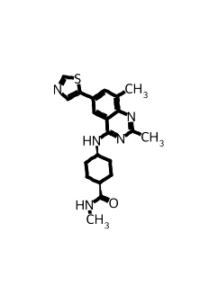 CNC(=O)[C@H]1CC[C@@H](Nc2nc(C)nc3c(C)cc(-c4cncs4)cc23)CC1